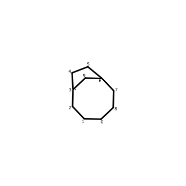 C1CC[C]2CCC(CC1)C2